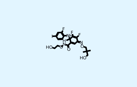 CC(C)(CO)CO/N=C1\C=C(C(=O)NOCCO)C(C)(Nc2ccc(I)cc2F)C(F)=C1F